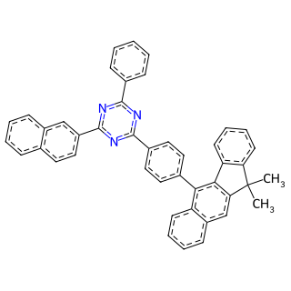 CC1(C)c2ccccc2-c2c1cc1ccccc1c2-c1ccc(-c2nc(-c3ccccc3)nc(-c3ccc4ccccc4c3)n2)cc1